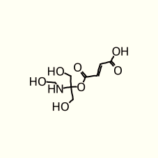 O=C(O)C=CC(=O)OC(CO)(CO)NCO